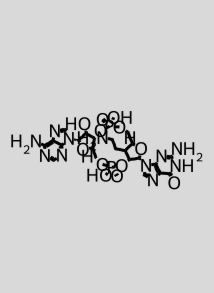 NCCC1C2OP(=O)(O)OC[C@H]3O[C@@H](n4cnc5c(N)ncnc54)[C@@H](O)C3OP(=O)(O)OC[C@H]1O[C@H]2n1cnc2c(=O)[nH]c(N)nc21